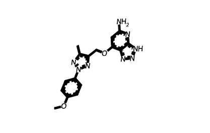 COc1ccc(-n2nc(C)c(COc3cc(N)nc4[nH]nnc34)n2)cc1